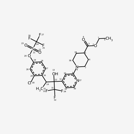 CCOC(=O)C1CCN(c2cc(C(O)(C(C)c3ccc(OS(=O)(=O)C(F)(F)F)cc3Cl)C(F)(F)F)ccn2)CC1